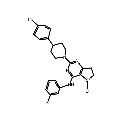 [O-][S+]1CCc2nc(N3CCC(c4ccc(Cl)cc4)CC3)nc(Nc3cccc(F)c3)c21